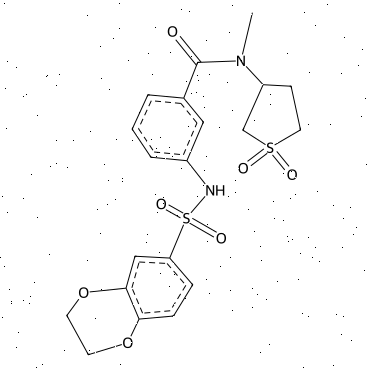 CN(C(=O)c1cccc(NS(=O)(=O)c2ccc3c(c2)OCCO3)c1)C1CCS(=O)(=O)C1